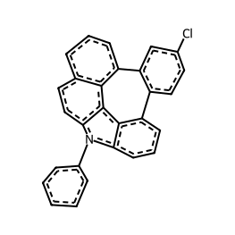 Clc1ccc2c(c1)-c1cccc3ccc4c(c13)c1c-2cccc1n4-c1ccccc1